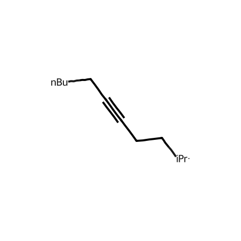 CCCCCC#CCC[C](C)C